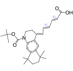 CC(C)(C)OC(=O)N1CCC(=C/C=C/C=C/C(=O)O)c2cc3c(cc21)C(C)(C)CCC3(C)C